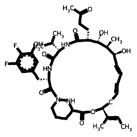 C/C=C(\C)[C@@H]1C/C=C/C=C/[C@H](O)[C@H](C)[C@@H](O)[C@@H](CCC(C)=O)C(=O)N[C@@H](C(C)C)C(=O)N[C@@H](Cc2cc(O)c(F)c(F)c2)C(=O)N2CCCC(N2)C(=O)O1